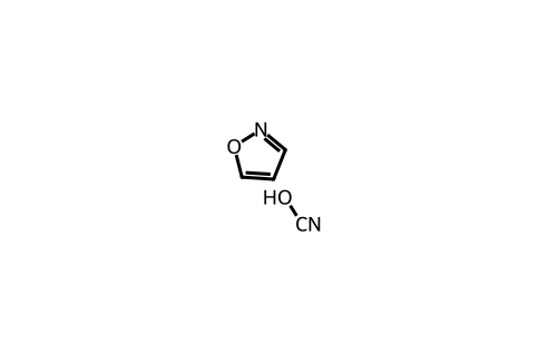 N#CO.c1cnoc1